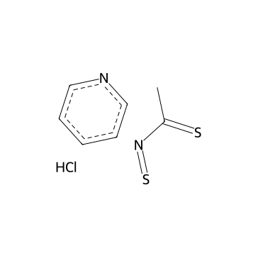 CC(=S)N=S.Cl.c1ccncc1